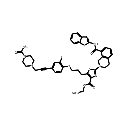 CCCCC(=O)N1CCN(CC#Cc2ccc(OCCCc3sc(N4CCc5cccc(C(=O)Nc6nc7ccccc7s6)c5C4)nc3C(=O)OCOC)c(F)c2)CC1